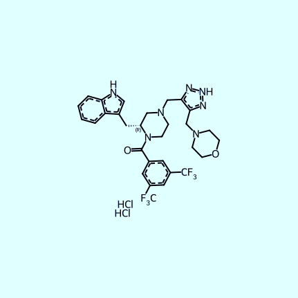 Cl.Cl.O=C(c1cc(C(F)(F)F)cc(C(F)(F)F)c1)N1CCN(Cc2n[nH]nc2CN2CCOCC2)C[C@H]1Cc1c[nH]c2ccccc12